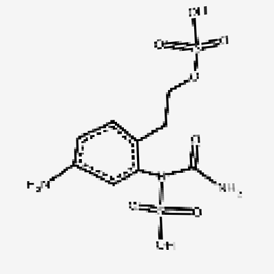 NC(=O)N(c1cc(N)ccc1CCOS(=O)(=O)O)S(=O)(=O)O